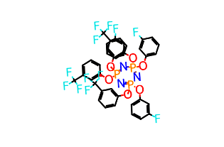 Fc1cccc(OP2(Oc3cccc(F)c3)=NP(Oc3cccc(F)c3)(Oc3cccc(C(F)(F)F)c3)=NP(Oc3cccc(C(F)(F)F)c3)(Oc3cccc(C(F)(F)F)c3)=N2)c1